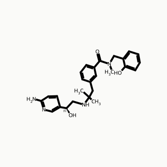 CN(Cc1ccccc1O)C(=O)c1cccc(CC(C)(C)NC[C@@H](O)c2ccc(N)nc2)c1